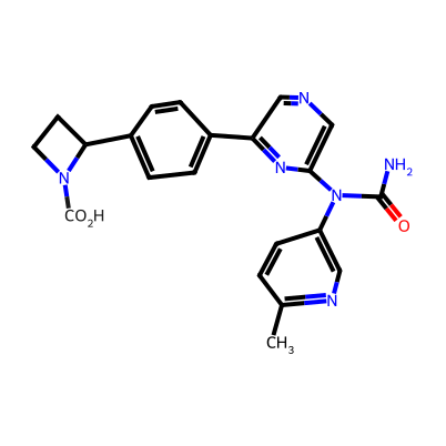 Cc1ccc(N(C(N)=O)c2cncc(-c3ccc(C4CCN4C(=O)O)cc3)n2)cn1